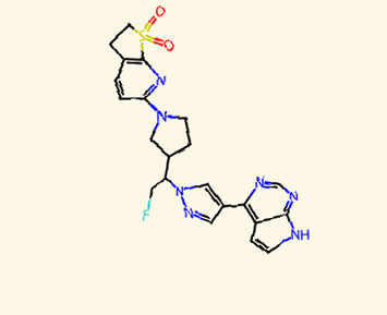 O=S1(=O)CCc2ccc(N3CCC(C(CF)n4cc(-c5ncnc6[nH]ccc56)cn4)C3)nc21